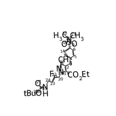 CCOC(=O)c1c(Cc2ccc(S(=O)(=O)N(C)C)cc2)c(C)nn1C/C(F)=C/CNC(=O)OC(C)(C)C